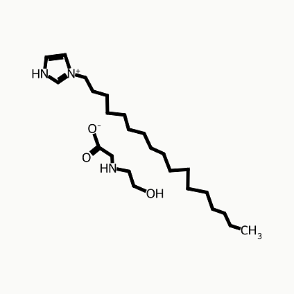 CCCCCCCCCCCCCCCCC[n+]1cc[nH]c1.O=C([O-])CNCCO